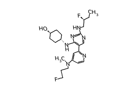 CC[C@H](F)CNc1ncc(-c2cc(N(C)CCCF)ccn2)c(N[C@H]2CC[C@H](O)CC2)n1